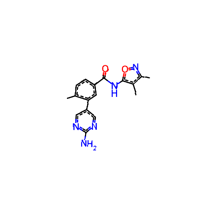 Cc1ccc(C(=O)Nc2onc(C)c2C)cc1-c1cnc(N)nc1